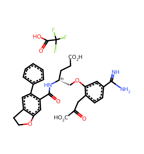 N=C(N)c1ccc(CC(=O)C(=O)O)c(OC[C@@H](CCC(=O)O)NC(=O)c2cc3c(cc2-c2ccccc2)CCO3)c1.O=C(O)C(F)(F)F